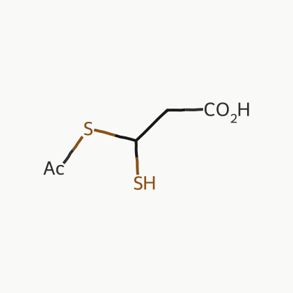 CC(=O)SC(S)CC(=O)O